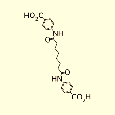 O=C(CCCCCCC(=O)Nc1ccc(C(=O)O)cc1)Nc1ccc(C(=O)O)cc1